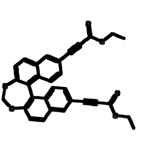 CCOC(=O)C#Cc1ccc2c3c(ccc2c1)OCOc1ccc2cc(C#CC(=O)OCC)ccc2c1-3